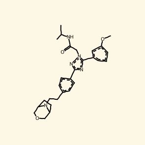 COc1cccc(-c2nc(-c3ccc(CCN4C5CCC4COC5)cc3)nn2CC(=O)NC(C)C)c1